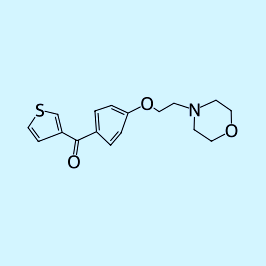 O=C(c1ccc(OCCN2CCOCC2)cc1)c1ccsc1